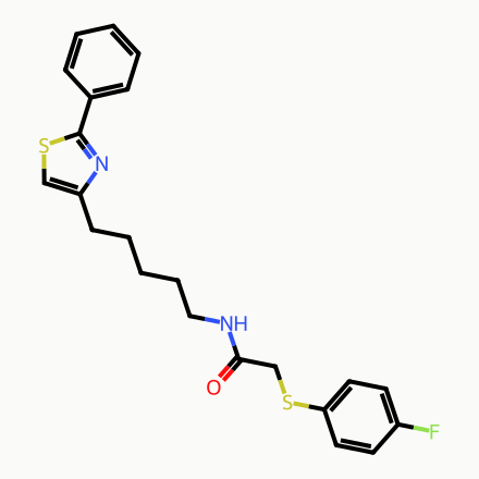 O=C(CSc1ccc(F)cc1)NCCCCCc1csc(-c2ccccc2)n1